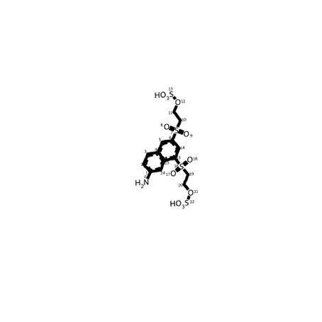 Nc1ccc2cc(S(=O)(=O)CCOS(=O)(=O)O)cc(S(=O)(=O)CCOS(=O)(=O)O)c2c1